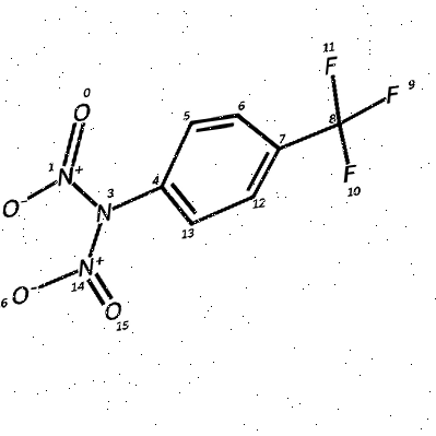 O=[N+]([O-])N(c1ccc(C(F)(F)F)cc1)[N+](=O)[O-]